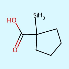 O=C(O)C1([SiH3])CCCC1